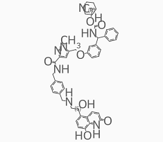 Cn1nc(C(=O)NCc2ccc(CNC[C@@H](O)c3ccc(O)c4[nH]c(=O)ccc34)cc2)cc1COc1cccc(C(NC(=O)O[C@H]2CN3CCC2CC3)c2ccccc2)c1